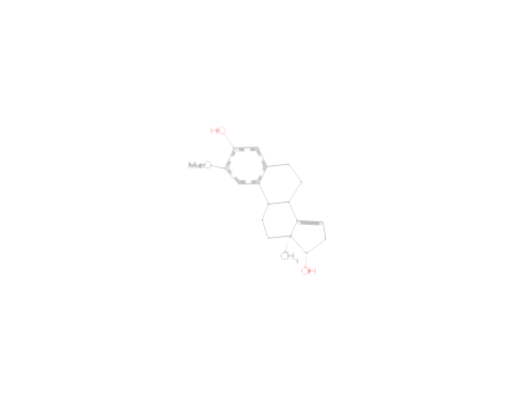 COc1cc2c(cc1O)CCC1C3=CC[C@H](O)[C@@]3(C)CCC21